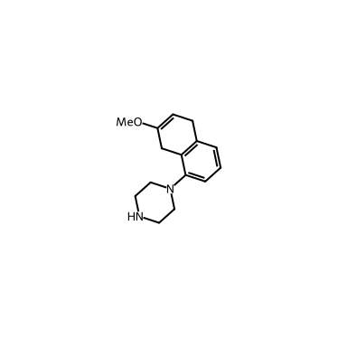 COC1=CCc2cccc(N3CCNCC3)c2C1